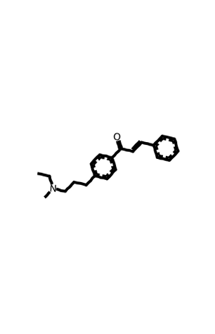 CCN(C)CCCc1ccc(C(=O)/C=C/c2ccccc2)cc1